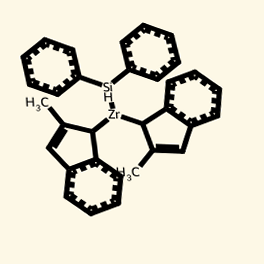 CC1=Cc2ccccc2[CH]1[Zr]([CH]1C(C)=Cc2ccccc21)[SiH](c1ccccc1)c1ccccc1